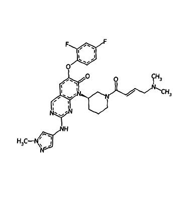 CN(C)C/C=C/C(=O)N1CCC[C@@H](n2c(=O)c(Oc3ccc(F)cc3F)cc3cnc(Nc4cnn(C)c4)nc32)C1